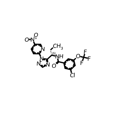 CC[C@H](NC(=O)c1cc(Cl)cc(OC(F)(F)F)c1)c1ncnn1-c1ccc([N+](=O)[O-])cn1